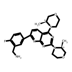 C[C@H]1COCCN1c1nc(N2CCOC[C@@H]2C)c2ccc(-c3ccc(F)c(CN)c3)nc2n1